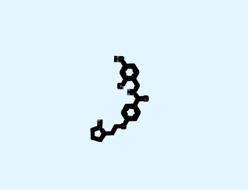 O=C(NCc1ccc(O)cc1Cl)c1ccc(OCCC2CCCN2)cc1